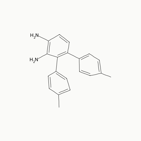 Cc1ccc(-c2ccc(N)c(N)c2-c2ccc(C)cc2)cc1